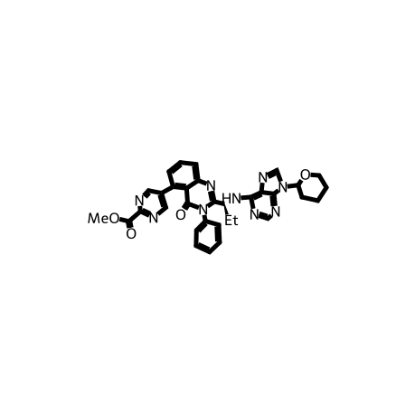 CC[C@H](Nc1ncnc2c1ncn2C1CCCCO1)c1nc2cccc(-c3cnc(C(=O)OC)nc3)c2c(=O)n1-c1ccccc1